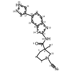 N#CN1CCCC(F)(C(=O)Nc2nc3ccc(-c4cn[nH]c4)cc3s2)C1